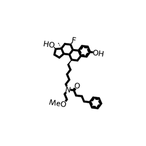 COCCN(CCCCC[C@@H]1Cc2cc(O)ccc2C2C1C1CC[C@H](O)[C@@]1(C)C[C@@H]2F)C(=O)CCCc1ccccc1